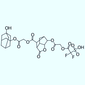 O=C(COC(=O)C(F)(F)S(=O)(=O)O)OC1C2CC3C1OC(=O)C3C2C(=O)OCC(=O)OC12CC3CC(CC(O)(C3)C1)C2